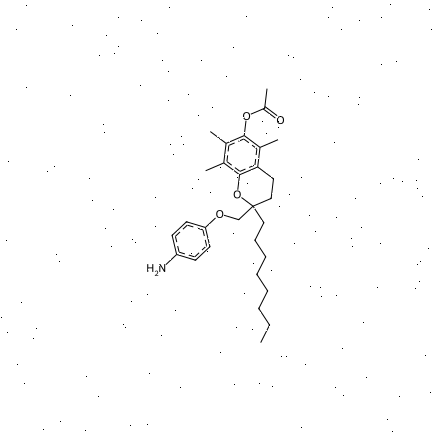 CCCCCCCCC1(COc2ccc(N)cc2)CCc2c(C)c(OC(C)=O)c(C)c(C)c2O1